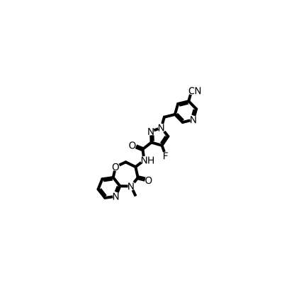 CN1C(=O)C(NC(=O)c2nn(Cc3cncc(C#N)c3)cc2F)COc2cccnc21